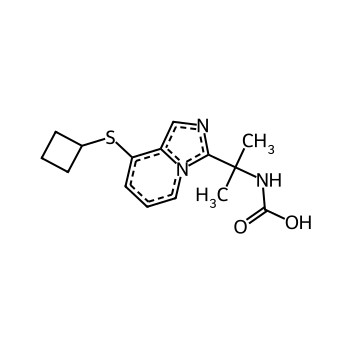 CC(C)(NC(=O)O)c1ncc2c(SC3CCC3)cccn12